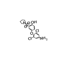 Nc1cc(Cl)c(Oc2ccc(O)c(S(=O)(=O)N3CCCC3)c2)c(Cl)c1